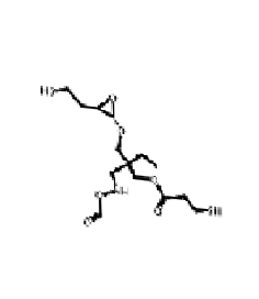 CCC(CNOC=O)(COC(=O)CCS)CO[C@H]1O[C@@H]1CCS